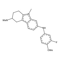 CNC1CCc2c(c3ccc(Nc4ccc(OC)c(F)c4)cc3n2C)C1